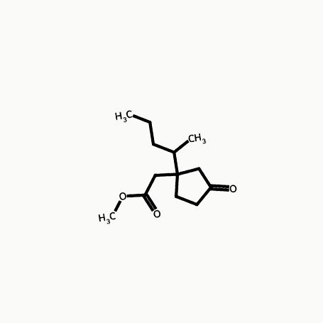 CCCC(C)C1(CC(=O)OC)CCC(=O)C1